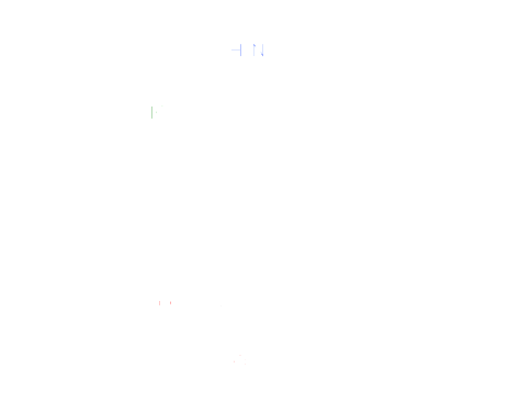 CCOC(=O)c1ccc(-c2ccccc2CN)cc1.Cl